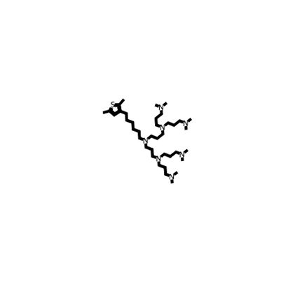 Cc1cc(CCCCCCN(CCCN(CCCN(C)C)CCCN(C)C)CCCN(CCCN(C)C)CCCN(C)C)c(C)s1